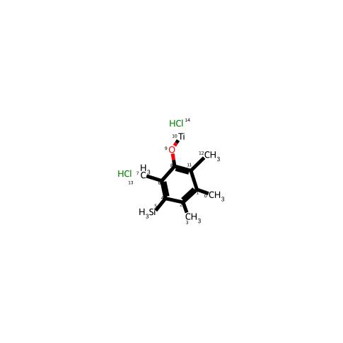 Cc1c(C)c([SiH3])c(C)c([O][Ti])c1C.Cl.Cl